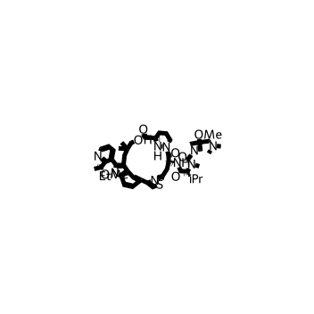 CCn1c(-c2cccnc2[C@H](C)OC)c2c3cc(ccc31)-c1csc(n1)C[C@H](NC(=O)[C@H](C(C)C)N(C)C(=O)N1CC(CN(C)C)(OC)C1)C(=O)N1CCC[C@H](N1)C(=O)OCC(C)(C)C2